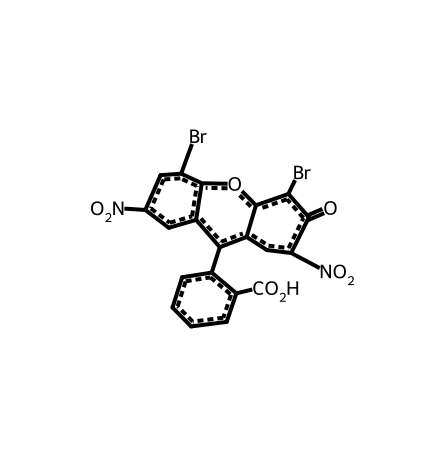 O=C(O)c1ccccc1-c1c2cc([N+](=O)[O-])c(=O)c(Br)c-2oc2c(Br)cc([N+](=O)[O-])cc12